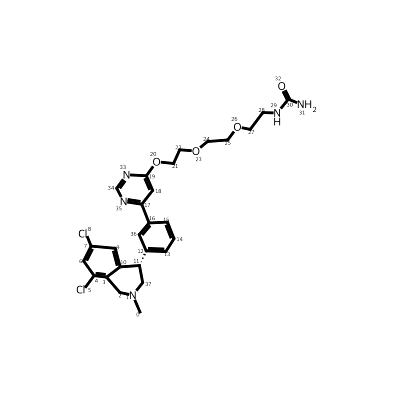 CN1Cc2c(Cl)cc(Cl)cc2[C@H](c2cccc(-c3cc(OCCOCCOCCNC(N)=O)ncn3)c2)C1